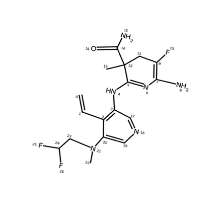 C=Cc1c(NC2=NC(N)=C(F)CC2(C)C(N)=O)cncc1N(C)CC(F)F